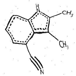 Cc1[nH]c2cccc(C#N)c2c1C